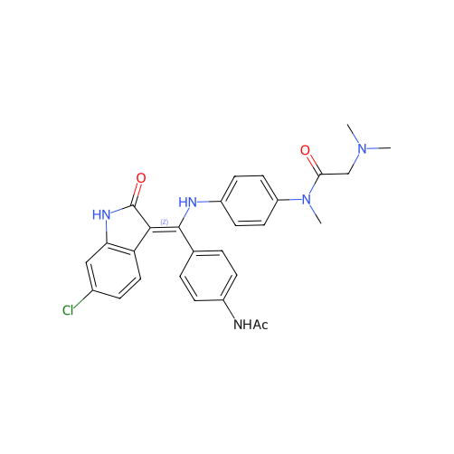 CC(=O)Nc1ccc(/C(Nc2ccc(N(C)C(=O)CN(C)C)cc2)=C2/C(=O)Nc3cc(Cl)ccc32)cc1